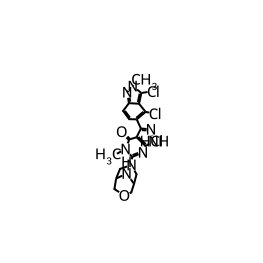 Cl.Cn1nc2ccc(-c3n[nH]c4nc(N5CC6COCC(C5)N6)n(C)c(=O)c34)c(Cl)c2c1Cl